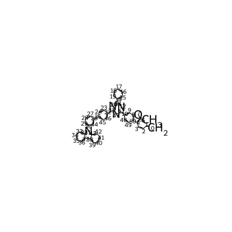 C=C/C=C\c1c(C)oc2cc(-c3nc(-c4ccccc4)nc(-c4ccc(-c5cccc(-n6c7ccccc7c7ccccc76)c5)cc4)n3)ccc12